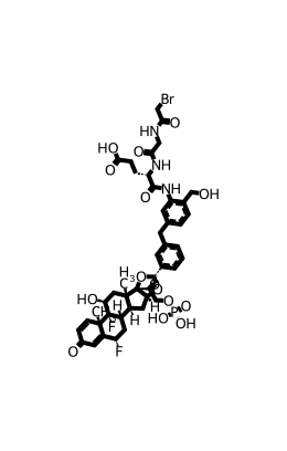 C[C@]12C=CC(=O)C=C1[C@@H](F)C[C@H]1[C@@H]3C[C@H]4O[C@@H](c5cccc(Cc6ccc(CO)c(NC(=O)[C@H](CCC(=O)O)NC(=O)CNC(=O)CBr)c6)c5)O[C@@]4(C(=O)COP(=O)(O)O)[C@@]3(C)C[C@H](O)[C@@]12F